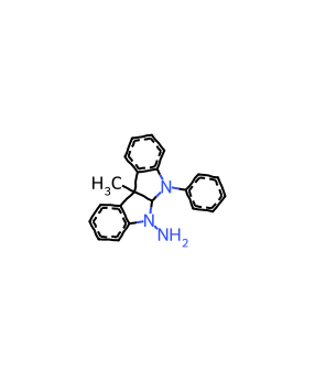 CC12c3ccccc3N(N)C1N(c1ccccc1)c1ccccc12